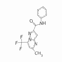 Cc1cc(C(F)(F)F)n2nc(C(=O)Nc3ccccc3)cc2n1